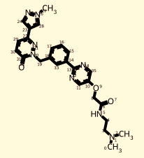 CN(C)CCNC(=O)COc1cnc(-c2cccc(Cn3nc(-c4cnn(C)c4)ccc3=O)c2)nc1